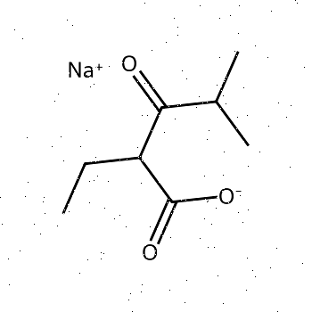 CCC(C(=O)[O-])C(=O)C(C)C.[Na+]